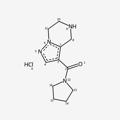 Cl.O=C(c1cnn2c1CNCC2)N1CCCC1